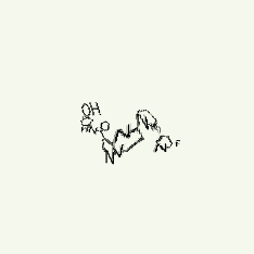 O=C(N[C@H]1CC[C@H](O)C1)c1cnn2ccc(N3CCC[C@@H]3c3cncc(F)c3)nc12